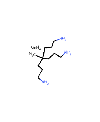 [CH2]C(CCCN)(CCCN)CCCN.[GeH4]